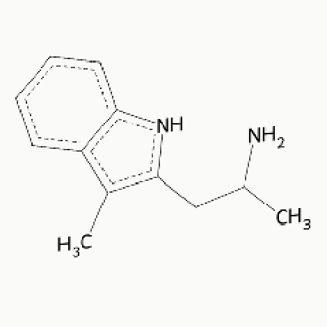 Cc1c(CC(C)N)[nH]c2ccccc12